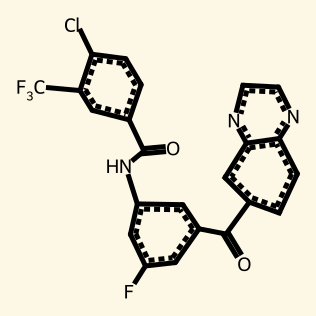 O=C(Nc1cc(F)cc(C(=O)c2ccc3nccnc3c2)c1)c1ccc(Cl)c(C(F)(F)F)c1